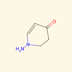 NN1C=CC(=O)CC1